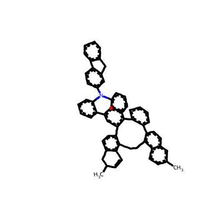 Cc1ccc2c3c(ccc2c1)-c1ccccc1-c1ccc(-c2ccccc2N(c2ccccc2)c2ccc4c(c2)Cc2ccccc2-4)cc1-c1ccc2c(c1CC3)C=CC(C)C2